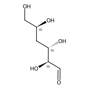 O=C[C@@H](O)[C@@H](O)C[C@H](O)CO